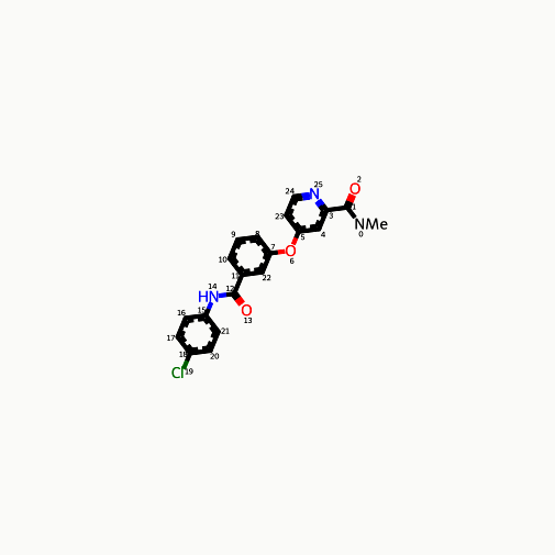 CNC(=O)c1cc(Oc2cccc(C(=O)Nc3ccc(Cl)cc3)c2)ccn1